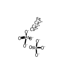 O=[As]([O-])([O-])[O-].O=[As]([O-])([O-])[O-].[Ca+2].[Ca+2].[Ca+2].[Fe]